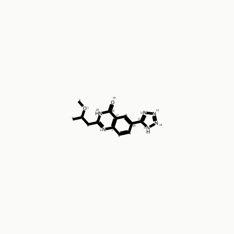 COC(C)Cc1nc2ccc(-c3nnn[nH]3)cc2c(=O)[nH]1